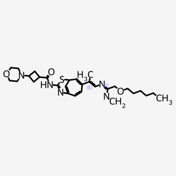 C=N/C(COCCCCCC)=N\C=C(/C)C1=CC2C=C(C=C1)N=C(NC(=O)C1CC(N3CCOCC3)C1)S2